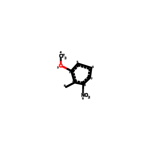 Cc1c(OC(F)(F)F)cccc1[N+](=O)[O-]